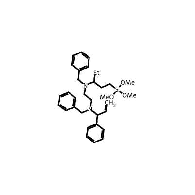 C=CC(c1ccccc1)N(CCN(Cc1ccccc1)C(CC)CC[Si](OC)(OC)OC)Cc1ccccc1